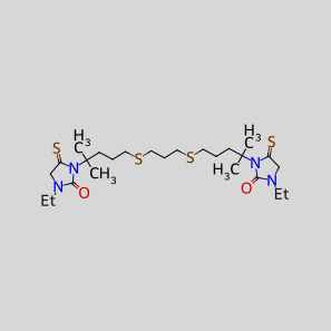 CCN1CC(=S)N(C(C)(C)CCCSCCCSCCCC(C)(C)N2C(=O)N(CC)CC2=S)C1=O